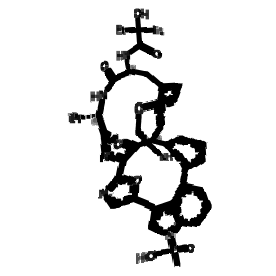 CCC(O)(CC)C(=O)N[C@H]1Cc2ccc3c(c2)[C@]24c5cccc(c5NC2O3)-c2cccc3c2c(cn3P(C)(=O)O)-c2cnc(o2)-c2nc(oc24)[C@H](C(C)C)NC1=O